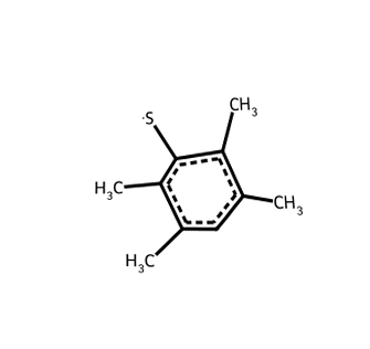 Cc1cc(C)c(C)c([S])c1C